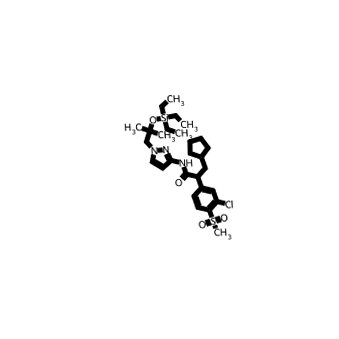 CC[Si](CC)(CC)OC(C)(C)Cn1ccc(NC(=O)C(CC2CCCC2)c2ccc(S(C)(=O)=O)c(Cl)c2)n1